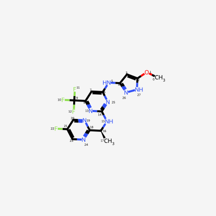 COc1cc(Nc2cc(C(F)(F)F)nc(N[C@@H](C)c3ncc(F)cn3)n2)n[nH]1